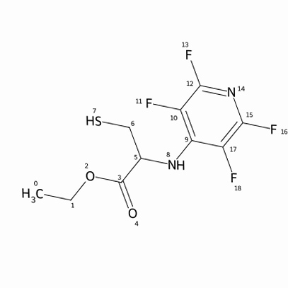 CCOC(=O)C(CS)Nc1c(F)c(F)nc(F)c1F